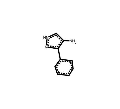 Nc1c[nH]nc1-c1ccccc1